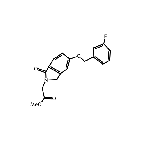 COC(=O)CN1Cc2cc(OCc3cccc(F)c3)ccc2C1=O